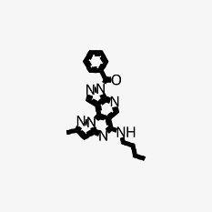 CCCCNc1nc2cc(C)nn2c2c1cnc1c2cnn1C(=O)c1ccccc1